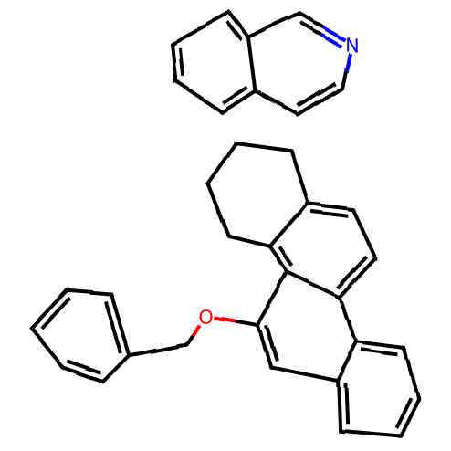 c1ccc(COc2cc3ccccc3c3ccc4c(c23)CCCC4)cc1.c1ccc2cnccc2c1